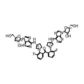 O=C(c1cccc(F)c1N1CC[C@@H](Nc2ncnc3c2ncn3[C@@H]2O[C@H](CO)C[C@H]2O)C1)c1cccc(F)c1N1CC[C@@H](Nc2ncnc3c2ncn3[C@@H]2O[C@H](CO)C[C@H]2O)C1